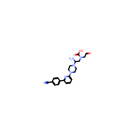 N#Cc1ccc(-c2cccc(N3CCN(C(N)CN(CC=O)C(=O)O)CC3)n2)cc1